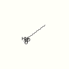 CCCCCCCCCCCCCCCCCC(=O)NC(CC)N=O